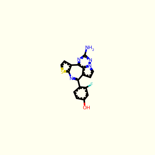 Nc1nc2c3c(ccn3n1)C(c1ccc(O)cc1F)=Nc1sccc1-2